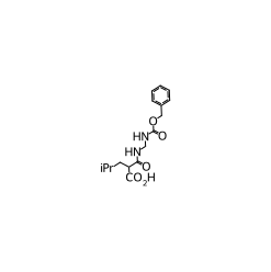 CC(C)CC(C(=O)O)C(=O)NCNC(=O)OCc1ccccc1